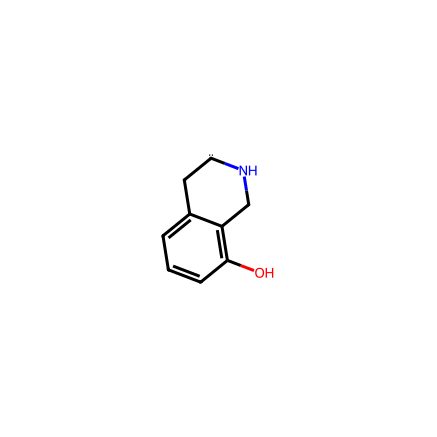 Oc1cccc2c1CN[C]C2